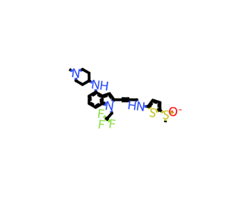 CN1CCC(Nc2cccc3c2cc(C#CCNc2ccc([S+](C)[O-])s2)n3CC(F)(F)F)CC1